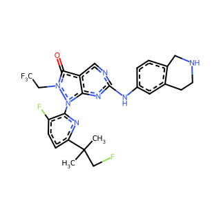 CC(C)(CF)c1ccc(F)c(-n2c3nc(Nc4ccc5c(c4)CCNC5)ncc3c(=O)n2CC(F)(F)F)n1